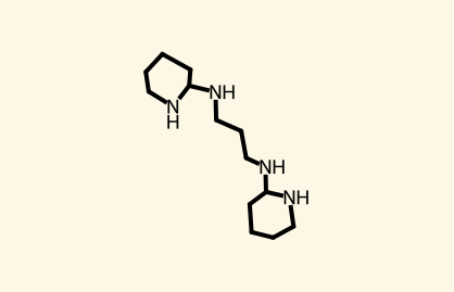 C1CCC(NCCCNC2CCCCN2)NC1